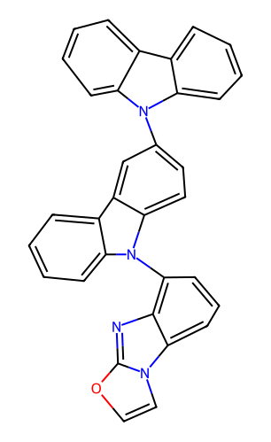 c1ccc2c(c1)c1ccccc1n2-c1ccc2c(c1)c1ccccc1n2-c1cccc2c1nc1occn12